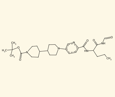 CCCC(NC(=O)c1ccc(N2CCC(C3CCN(C(=O)OC(C)(C)C)CC3)CC2)cn1)C(=O)NC=O